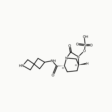 O=C(NC1CC2(CNC2)C1)[C@H]1CC[C@@H]2CN1C(=O)N2OS(=O)(=O)O